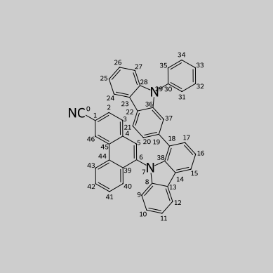 N#Cc1ccc2cc(-n3c4ccccc4c4cccc(-c5ccc6c7ccccc7n(-c7ccccc7)c6c5)c43)c3ccccc3c2c1